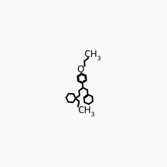 CCCCOc1ccc(C(CCC2(CCC)CCCCC2)CC2=CCCCC2)cc1